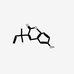 C=CC(C)(C)c1cc2cc(O)ccc2oc1=O